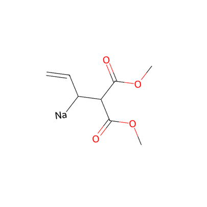 C=C[CH]([Na])C(C(=O)OC)C(=O)OC